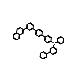 c1ccc(-c2cccc(N(c3ccccc3)c3ccc(-c4ccc(-c5cccc(-c6ccc7ccccc7c6)c5)cc4)cc3)c2)cc1